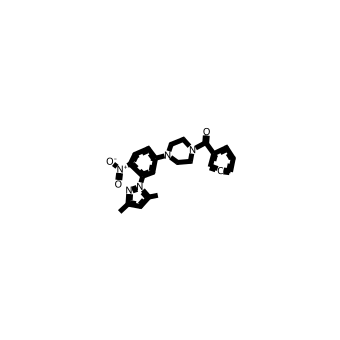 Cc1cc(C)n(-c2cc(N3CCN(C(=O)c4ccccc4)CC3)ccc2[N+](=O)[O-])n1